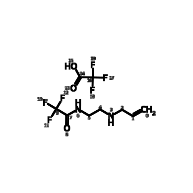 C=CCNCCNC(=O)C(F)(F)F.O=C(O)C(F)(F)F